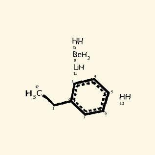 CCc1ccccc1.[BeH2].[HH].[HH].[LiH]